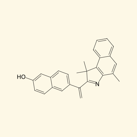 C=C(C1=Nc2c(C)cc3ccccc3c2C1(C)C)c1ccc2cc(O)ccc2c1